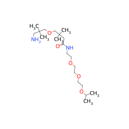 CC(C)OCCOCCOCCNC(=O)CC(C)(C)COCC(C)(C)CN